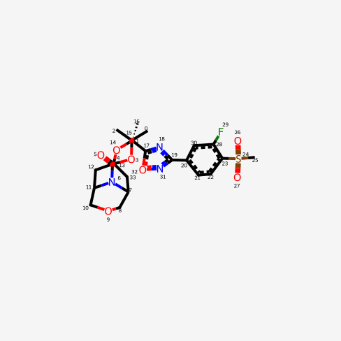 CC(C)OC(=O)N1C2COCC1CC(O[C@H](C)c1nc(-c3ccc(S(C)(=O)=O)c(F)c3)no1)C2